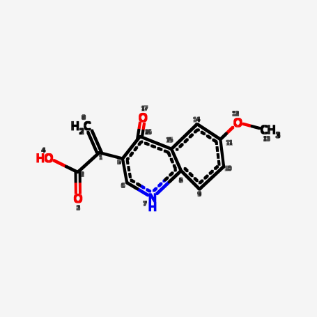 C=C(C(=O)O)c1c[nH]c2ccc(OC)cc2c1=O